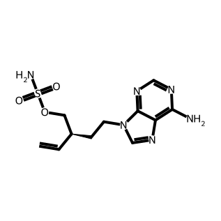 C=C[C@H](CCn1cnc2c(N)ncnc21)COS(N)(=O)=O